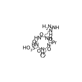 CC(C)C1C(=O)NC(CCCNC(=N)N)C(=O)NCC(=O)NC(CS(=O)(=O)O)C(=O)NC(Cc2ccccc2)C(=O)N1C